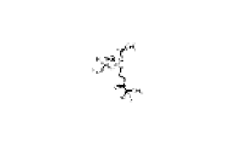 C=C(C)C(=O)CCC[Si](OC)(OCC)OCC